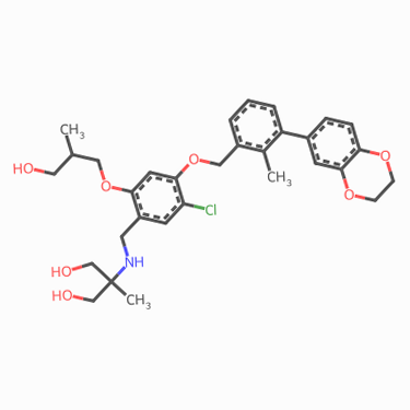 Cc1c(COc2cc(OCC(C)CO)c(CNC(C)(CO)CO)cc2Cl)cccc1-c1ccc2c(c1)OCCO2